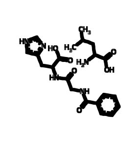 CC(C)CC(N)C(=O)O.O=C(CNC(=O)c1ccccc1)NC(Cc1c[nH]cn1)C(=O)O